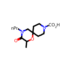 CCCN1CC2(CCN(C(=O)O)CC2)OC(C)C1=O